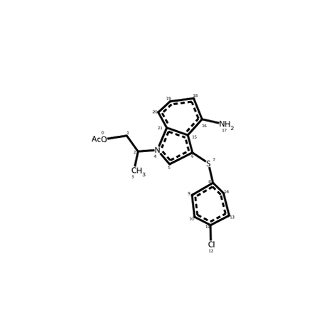 CC(=O)OCC(C)n1cc(Sc2ccc(Cl)cc2)c2c(N)cccc21